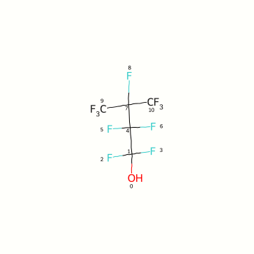 OC(F)(F)C(F)(F)C(F)(C(F)(F)F)C(F)(F)F